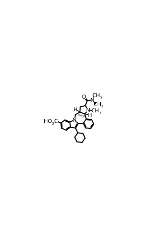 CN(C)C(=O)C1C[C@H]2Cn3c(c(C4CCCCC4)c4ccc(C(=O)O)cc43)-c3ccccc3[C@H]2N1C